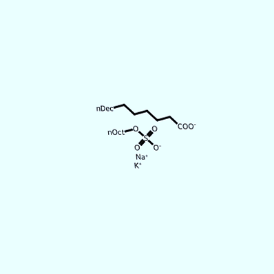 CCCCCCCCCCCCCCCC(=O)[O-].CCCCCCCCOS(=O)(=O)[O-].[K+].[Na+]